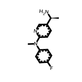 C[C@H](N)c1ccc(N(C)c2ccc(F)cc2)nc1